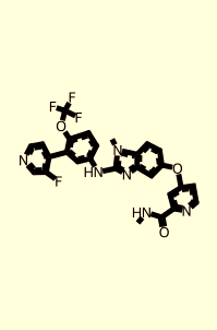 CNC(=O)c1cc(Oc2ccc3c(c2)nc(Nc2ccc(OC(F)(F)F)c(-c4ccncc4F)c2)n3C)ccn1